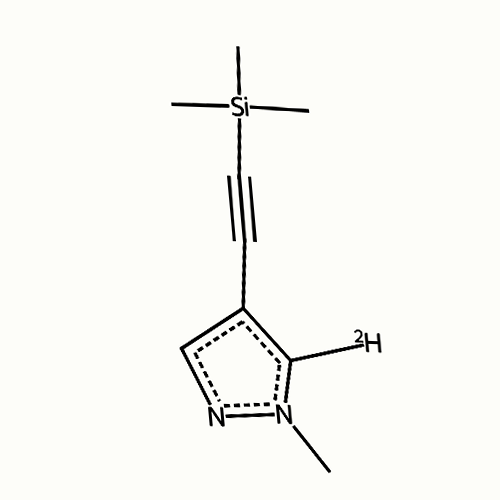 [2H]c1c(C#C[Si](C)(C)C)cnn1C